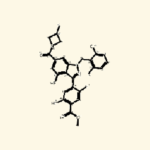 COC(=O)c1cc(F)c(-c2nn(Cc3c(C)cccc3Cl)c3cc(C(=O)N4CC(C)C4)cc(F)c23)cc1O